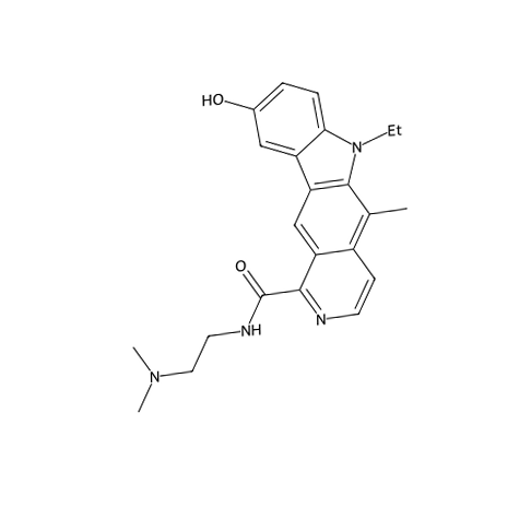 CCn1c2ccc(O)cc2c2cc3c(C(=O)NCCN(C)C)nccc3c(C)c21